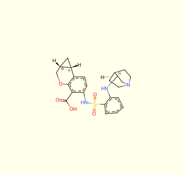 O=C(O)c1c(NS(=O)(=O)c2ccccc2N[C@@H]2CN3CCC2CC3)ccc2c1OC[C@@H]1C[C@H]21